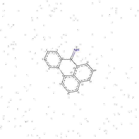 N=C1c2ccccc2-c2cccc3cccc1c23